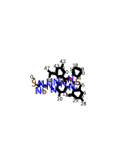 CSc1nsc(N=Nc2c(C)cc(N(c3nc4ccccc4s3)c3c(C)cc(C)cc3C)nc2Nc2c(C(C)C)cc(C)cc2C(C)C)n1